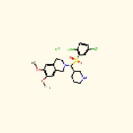 COc1cc2c(cc1OC)CN(C(C1CCCNC1)S(=O)(=O)c1cc(Cl)ccc1Cl)CC2.Cl